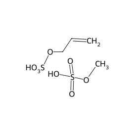 C=CCOS(=O)(=O)O.COS(=O)(=O)O